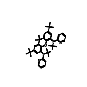 CC(C)(C)c1cc(P(c2ccccn2)C(C)(C)C)c2c(c1)C(C)(C)c1cc(C(C)(C)C)cc(P(c3ccccn3)C(C)(C)C)c1O2